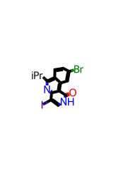 CC(C)c1nc2c(I)c[nH]c(=O)c2c2cc(Br)ccc12